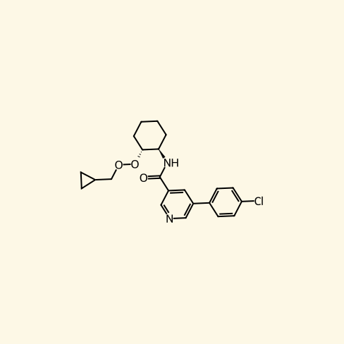 O=C(N[C@@H]1CCCC[C@H]1OOCC1CC1)c1cncc(-c2ccc(Cl)cc2)c1